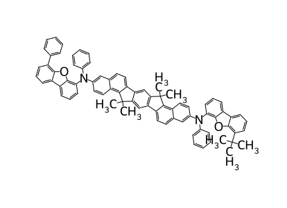 CC(C)(C)c1cccc2c1oc1c(N(c3ccccc3)c3ccc4c5c(ccc4c3)-c3cc4c(cc3C5(C)C)-c3ccc5cc(N(c6ccccc6)c6cccc7c6oc6c(-c8ccccc8)cccc67)ccc5c3C4(C)C)cccc12